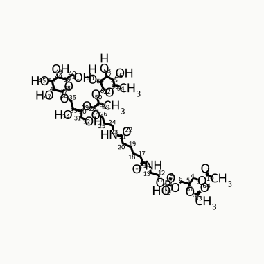 CC(=O)OCC(COP(=O)(O)OCCNC(=O)CCCCC(=O)NCCCO[C@H](OC(CO)[C@H](O)CO[C@H]1OC(CO)[C@H](O)[C@H](O)C1O)[C@H](C)O[C@@H]1OC(C)[C@@H](O)C(O)[C@@H]1O)OC(C)=O